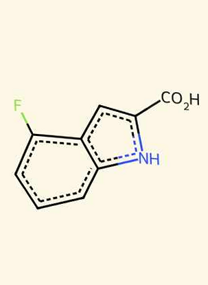 O=C(O)c1cc2c(F)cccc2[nH]1